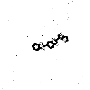 c1ccc2oc(-c3ccc4sc(-c5csc6ccsc56)nc4c3)nc2c1